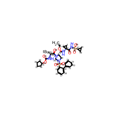 C=C[C@@H]1C[C@]1(NC(=O)[C@@H]1CN(S(=O)(=O)c2ccccc2-c2ccccc2)CN1C(=O)[C@@H](NC(=O)OC1CCCC1)C(C)(C)C)C(=O)NS(=O)(=O)C1CC1